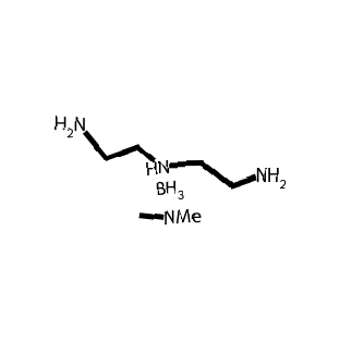 B.CNC.NCCNCCN